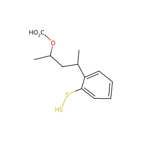 CC(CC(C)c1ccccc1SS)OC(=O)O